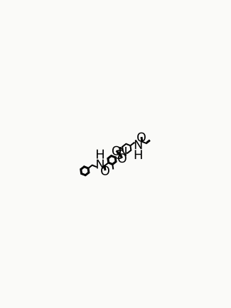 C=CC(=O)NCC1CCN(S(=O)(=O)c2ccc(C(=O)NCCc3ccccc3)c(C)c2)CC1